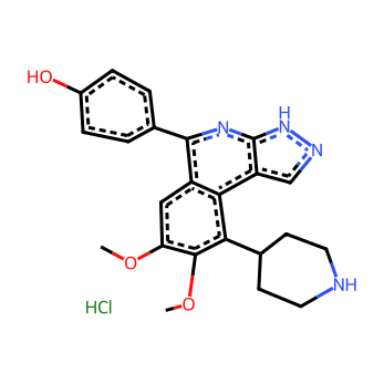 COc1cc2c(-c3ccc(O)cc3)nc3[nH]ncc3c2c(C2CCNCC2)c1OC.Cl